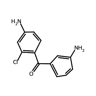 Nc1cccc(C(=O)c2ccc(N)cc2Cl)c1